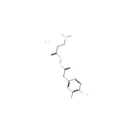 CCCCC[C@H](CN(O)C=O)C(=O)NNC(=O)Cc1ccc(OC)c(Cl)c1